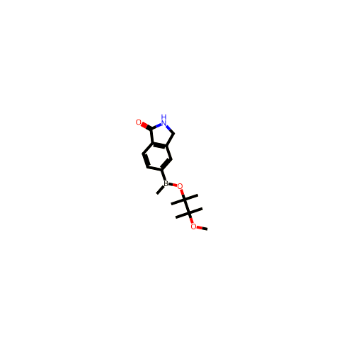 COC(C)(C)C(C)(C)OB(C)c1ccc2c(c1)CNC2=O